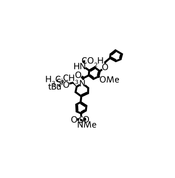 CNS(=O)(=O)c1ccc(C2=CCN(C(=O)c3cc(OC)c(OCc4ccccc4)cc3NC(=O)O)[C@H](CO[Si](C)(C)C(C)(C)C)C2)cc1